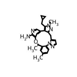 Cc1ccc2c(c1)[C@@H](C)Oc1cc(cnc1N)-c1c(nn(C)c1CC1CC1)Cc1ccnn1-2